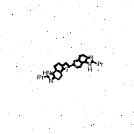 CC(C)c1nc2c([nH]1)-c1ccc3cc(-c4ccc5c(ccc6nc(C(C)C)[nH]c65)c4)sc3c1CC2